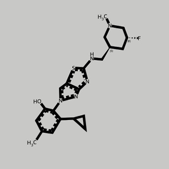 Cc1cc(O)c(-n2cc3sc(NC[C@@H]4C[C@@H](F)CN(C)C4)nc3n2)c(C2CC2)c1